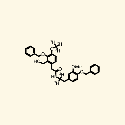 [2H]C([2H])(Cc1ccc(OCc2ccccc2)c(OC)c1)NC(=O)Cc1ccc(OC([2H])([2H])[2H])c(OCc2ccccc2)c1CO